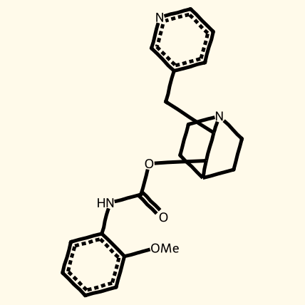 COc1ccccc1NC(=O)OC1C2CCN(CC2)C1Cc1cccnc1